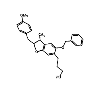 COc1ccc(CC2Oc3cc(CCCO)c(OCc4ccccc4)cc3C2C)cc1